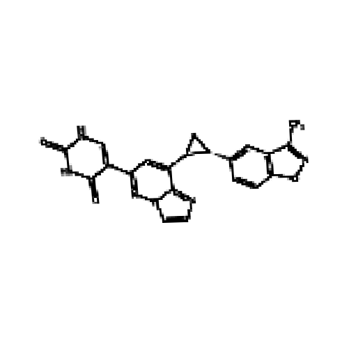 O=c1[nH]cc(-c2cc(C3C[C@@H]3c3ccc4onc(C(F)(F)F)c4c3)c3nccn3n2)c(=O)[nH]1